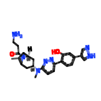 CC1=C2C[C@@H](N(C)c3ccc(-c4ccc(-c5cn[nH]c5)cc4O)nn3)C[C@H](C1)N2C(=O)CCN